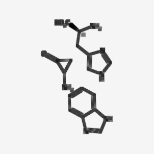 NC1CC1=O.N[C@@H](Cc1c[nH]cn1)C(=O)O.c1ccc2[nH]cnc2c1